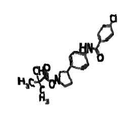 CC(C)(C)C(=O)ON1CCC(c2ccc(NC(=O)c3ccc(Cl)cc3)cc2)C1